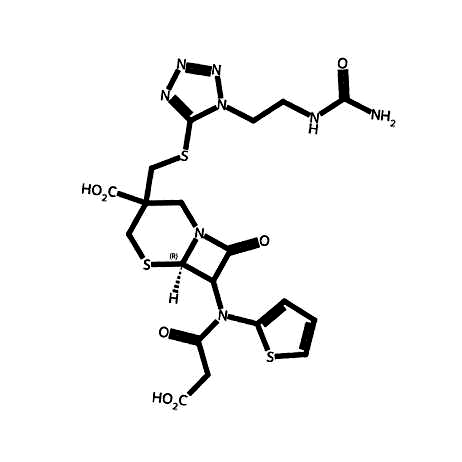 NC(=O)NCCn1nnnc1SCC1(C(=O)O)CS[C@@H]2C(N(C(=O)CC(=O)O)c3cccs3)C(=O)N2C1